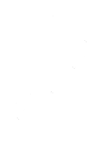 COC(CNC(=O)c1c(C)[nH]c(/C=C2\C(=O)Nc3ccc(F)cc32)c1C)CC(=O)N(C)C